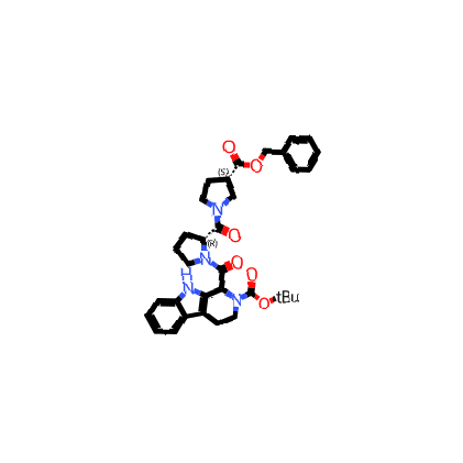 CC(C)(C)OC(=O)N1CCc2c([nH]c3ccccc23)C1C(=O)N1CCC[C@@H]1C(=O)N1CC[C@H](C(=O)OCc2ccccc2)C1